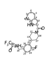 O=C(c1cc2cccnc2[nH]1)N1CCC(c2cc(CNC(=O)C(F)(F)F)ccc2F)CC1